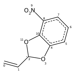 C=C[C]1Oc2cccc([N+](=O)[O-])c2O1